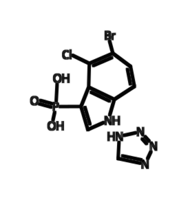 O=P(O)(O)c1c[nH]c2ccc(Br)c(Cl)c12.c1nnn[nH]1